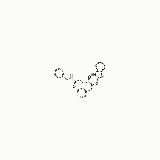 O=C(CCC(=O)N(Cc1ccccc1)Sc1nc2ccccc2[nH]1)NCc1ccccc1